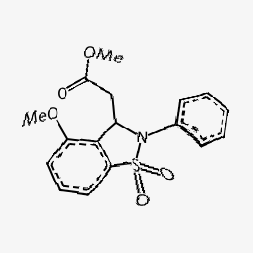 COC(=O)CC1c2c(OC)cccc2S(=O)(=O)N1c1ccccc1